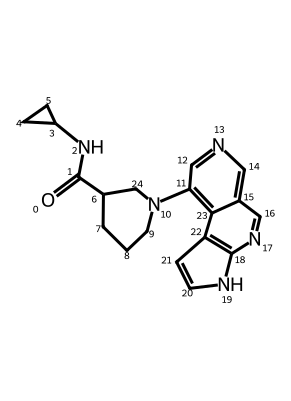 O=C(NC1CC1)C1CCCN(c2cncc3cnc4[nH]ccc4c23)C1